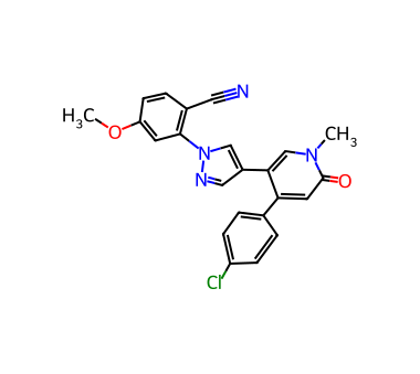 COc1ccc(C#N)c(-n2cc(-c3cn(C)c(=O)cc3-c3ccc(Cl)cc3)cn2)c1